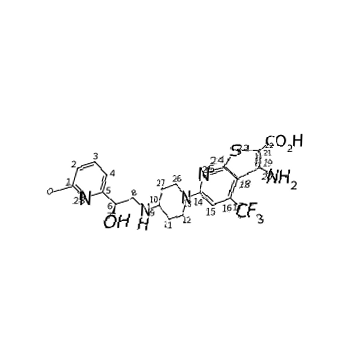 Cc1cccc([C@H](O)CNC2CCN(c3cc(C(F)(F)F)c4c(N)c(C(=O)O)sc4n3)CC2)n1